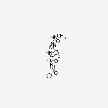 CNC(=O)Cn1cnc(-c2ccc(F)c3c(C(=O)C(=O)N4CCN(C(=O)c5ccccc5)CC4)c[nH]c23)n1